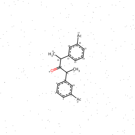 CC(=O)c1cccc(C(C)C(=O)C(C)c2cccc(C(C)=O)c2)c1